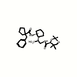 CC1(C)OCC(C)(C)C(C(=O)NCC(C(=O)O)[C@@H]2CCCC[C@@H]2NC(=O)C2(Cc3ccccc3)CCCC2)O1